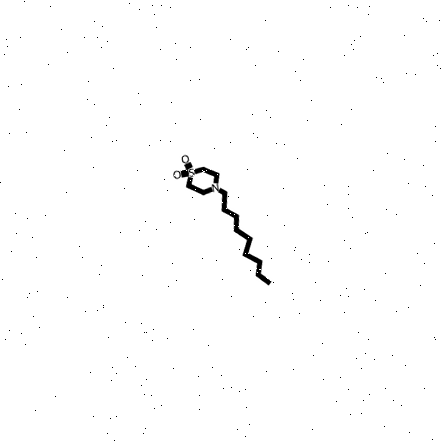 CCCCCCCCCN1CCS(=O)(=O)CC1